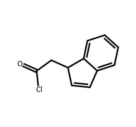 O=C(Cl)CC1C=Cc2ccccc21